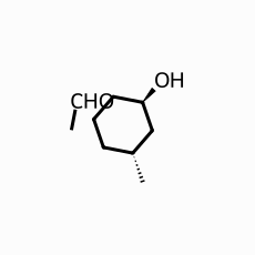 CC=O.C[C@@H]1CCC[C@@H](O)C1